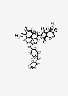 Cc1c(F)cc2nc3c(c4c2c1CC[C@@H]4NCC1CCN(CC2CCNCC2)CC1)Cn1c-3cc2c(c1=O)COC(=O)[C@@]2(C)O